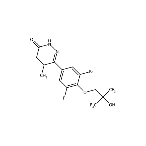 CC1CC(=O)NN=C1c1cc(F)c(OCC(O)(C(F)(F)F)C(F)(F)F)c(Br)c1